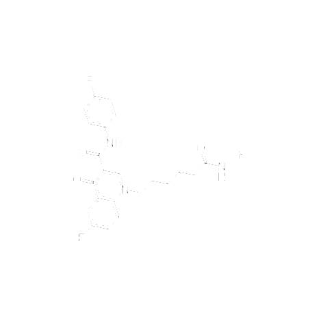 O=C(CCCCCn1cc(C(=O)Nc2ccc(F)cc2)c(=O)c2cc(F)ccc21)NO